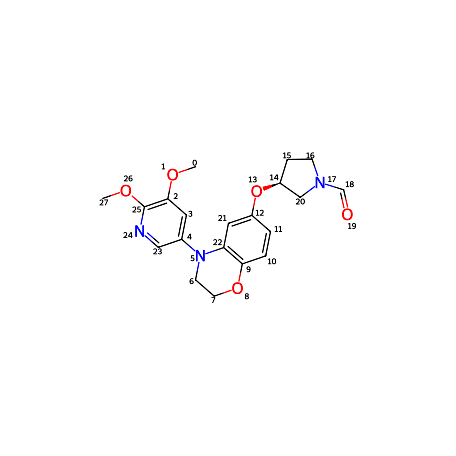 COc1cc(N2CCOc3ccc(O[C@H]4CCN(C=O)C4)cc32)cnc1OC